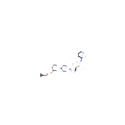 O=C(NCc1ncc(F)cc1F)c1cnc(N2CCC(N3CCCC(COCC4CC4)C3)CC2)s1